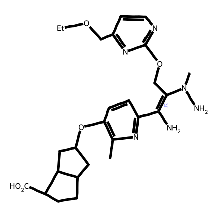 CCOCc1ccnc(OC/C(=C(/N)c2ccc(OC3CC4CCC(C(=O)O)C4C3)c(C)n2)N(C)N)n1